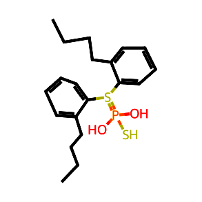 CCCCc1ccccc1S(c1ccccc1CCCC)=P(O)(O)S